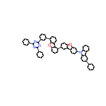 c1ccc(-c2ccc3c(c2)c2ccccc2n3-c2ccc3c(c2)oc2ccc(-c4cccc5oc6c(-c7cccc(-c8nc(-c9ccccc9)nc(-c9ccccc9)n8)c7)cccc6c45)cc23)cc1